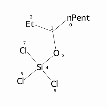 CCCCCC(CC)O[Si](Cl)(Cl)Cl